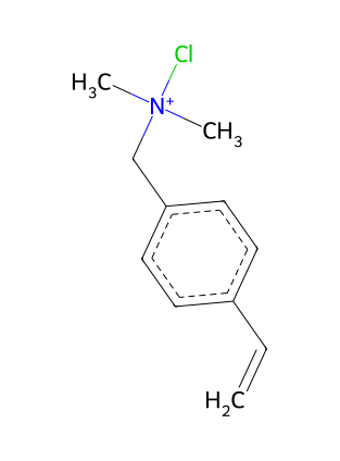 C=Cc1ccc(C[N+](C)(C)Cl)cc1